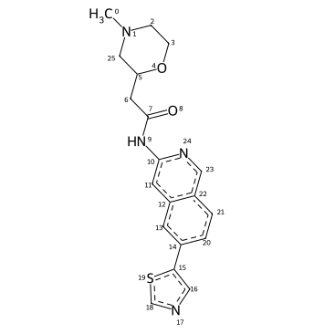 CN1CCOC(CC(=O)Nc2cc3cc(-c4cncs4)ccc3cn2)C1